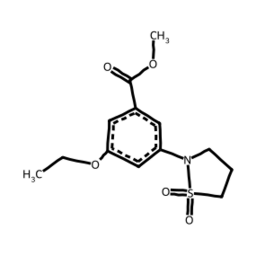 CCOc1cc(C(=O)OC)cc(N2CCCS2(=O)=O)c1